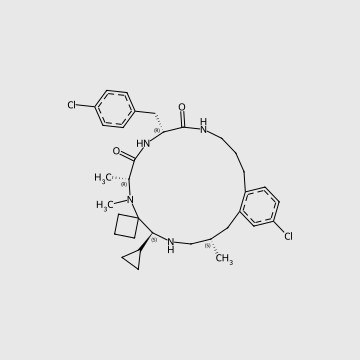 C[C@@H]1CN[C@@H](C2CC2)C2(CCC2)N(C)[C@H](C)C(=O)N[C@H](Cc2ccc(Cl)cc2)C(=O)NCCCc2ccc(Cl)cc2C1